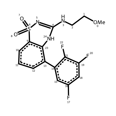 COCCNC1=NS(=O)(=O)c2cccc(-c3cc(F)cc(F)c3F)c2N1